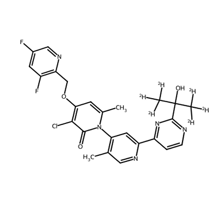 [2H]C([2H])([2H])C(O)(c1nccc(-c2cc(-n3c(C)cc(OCc4ncc(F)cc4F)c(Cl)c3=O)c(C)cn2)n1)C([2H])([2H])[2H]